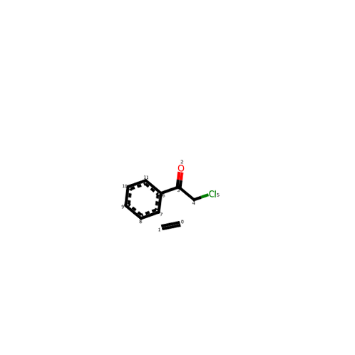 C=C.O=C(CCl)c1ccccc1